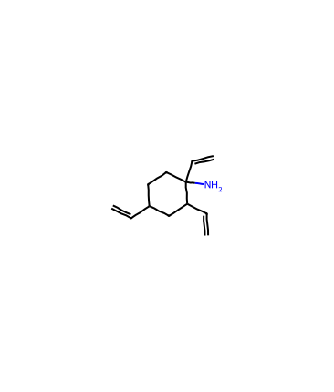 C=CC1CCC(N)(C=C)C(C=C)C1